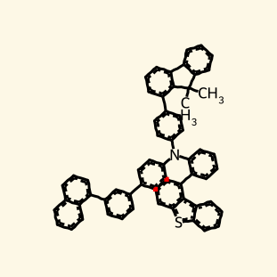 CC1(C)c2ccccc2-c2cccc(-c3ccc(N(c4ccc(-c5cccc(-c6cccc7ccccc67)c5)cc4)c4ccccc4-c4cccc5sc6ccccc6c45)cc3)c21